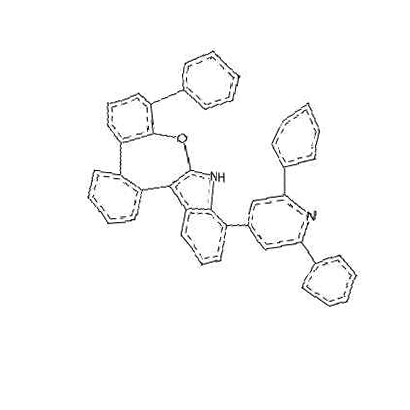 c1ccc(-c2cc(-c3cccc4c5c([nH]c34)Oc3c(-c4ccccc4)cccc3-c3ccccc3-5)cc(-c3ccccc3)n2)cc1